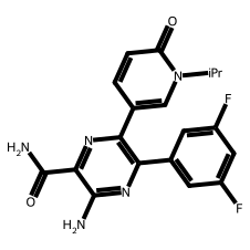 CC(C)n1cc(-c2nc(C(N)=O)c(N)nc2-c2cc(F)cc(F)c2)ccc1=O